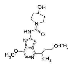 COCCC(C)c1ncc(OC)c2nc(NC(=O)N3CCC(O)CC3)sc12